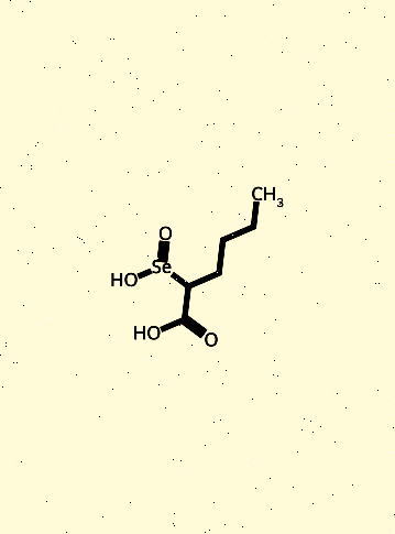 CCCCC(C(=O)O)[Se](=O)O